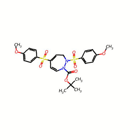 COc1ccc(S(=O)(=O)C2=CCN(S(=O)(=O)c3ccc(OC)cc3)N(C(=O)OC(C)(C)C)C=C2)cc1